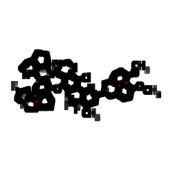 COc1ccc(CN(Cc2ccc(OC)cc2)c2cc(C)c(C(F)(F)F)c(-c3c(F)c4c5c(c3Cl)=NCNC=5N([C@@H]3CCCc5ccnc(NCc6ccccc6)c53)C=C(OC[C@@]35CCCN3C[C@H](F)C5)O4)n2)cc1